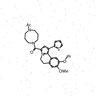 COc1cc2c(cc1OC(C)C)-c1c(-c3cccs3)cc(C(=O)N3CCCN(C(C)=O)CCC3)n1CC2